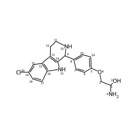 NC(O)COc1ccc(C2NCCc3c2[nH]c2ccc(Cl)cc32)cc1